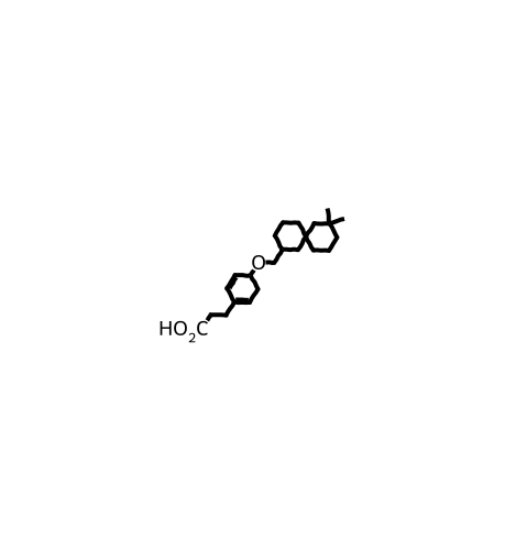 CC1(C)CCCC2(CCCC(COC3C=CC(CCC(=O)O)=CC3)C2)C1